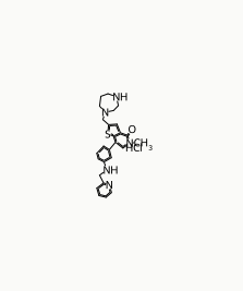 Cl.Cn1cc(-c2cccc(NCc3ccccn3)c2)c2sc(CN3CCCNCC3)cc2c1=O